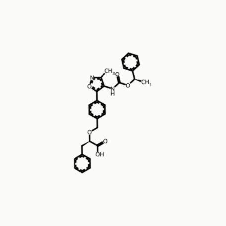 Cc1noc(-c2ccc(CO[C@H](Cc3ccccc3)C(=O)O)cc2)c1NC(=O)O[C@H](C)c1ccccc1